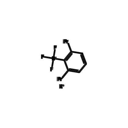 CC(C)c1cccc(C(C)C)c1[B-](F)(F)F.[K+]